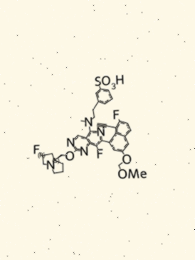 C#Cc1c(F)ccc2cc(OCOC)cc(-c3nc(N(C)CCc4cccc(S(=O)(=O)O)c4)c4cnc(OC[C@@]56CCCN5C[C@H](F)C6)nc4c3F)c12